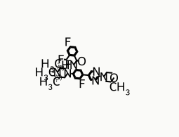 CC1CN(c2ncc(-c3cc(NC(=O)c4ccc(F)cc4C(F)F)c(N4C[C@@H](C)N(C)[C@@H](C)C4)cc3F)cn2)CCO1